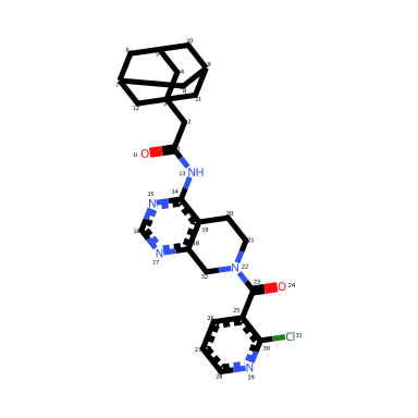 O=C(CC12CC3CC(CC(C3)C1)C2)Nc1ncnc2c1CCN(C(=O)c1cccnc1Cl)C2